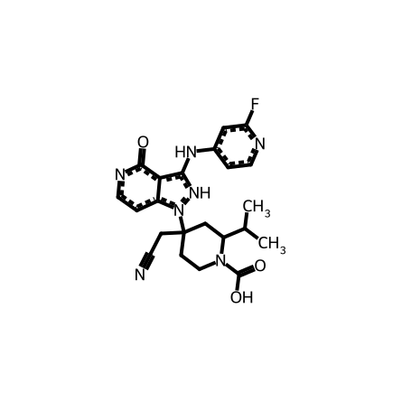 CC(C)C1CC(CC#N)(n2[nH]c(Nc3ccnc(F)c3)c3c(=O)nccc2-3)CCN1C(=O)O